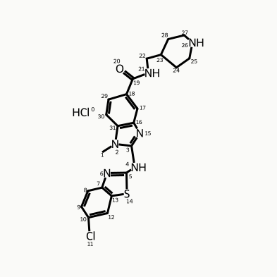 Cl.Cn1c(Nc2nc3ccc(Cl)cc3s2)nc2cc(C(=O)NCC3CCNCC3)ccc21